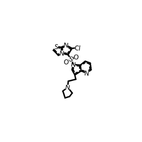 O=S(=O)(c1c(Cl)nc2sccn12)n1cc(CCN2CCCC2)c2ncccc21